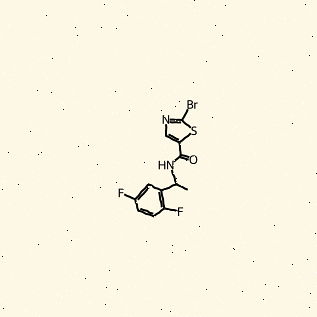 CC(NC(=O)c1cnc(Br)s1)c1cc(F)ccc1F